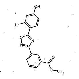 COC(=O)c1cccc(-c2noc(-c3ccc(O)cc3Cl)n2)c1